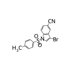 Cc1ccc(S(=O)(=O)n2cc(Br)c3cc(C#N)ccc32)cc1